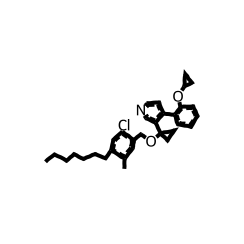 CCCCCCCc1cc(Cl)c(COC2(c3cnccc3-c3ccccc3OC3CC3)CC2)cc1C